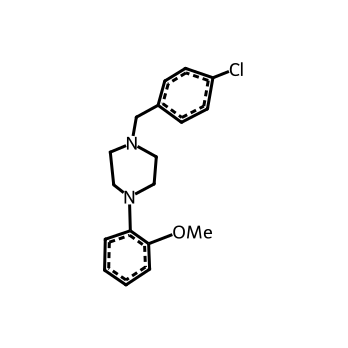 COc1ccccc1N1CCN(Cc2ccc(Cl)cc2)CC1